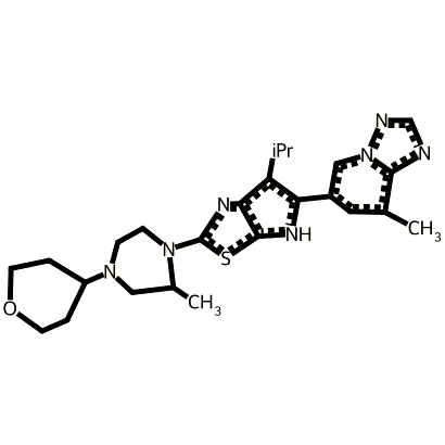 Cc1cc(-c2[nH]c3sc(N4CCN(C5CCOCC5)CC4C)nc3c2C(C)C)cn2ncnc12